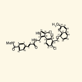 CNC(=O)c1ccc(C=CC(=O)NCc2[nH]cc(Cl)c2-c2ccc(Cl)c(COc3cccc4ccc(C)nc34)c2Cl)cc1